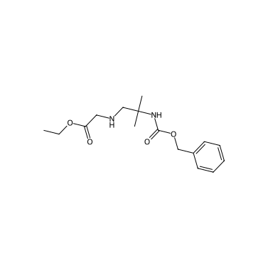 CCOC(=O)CNCC(C)(C)NC(=O)OCc1ccccc1